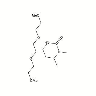 CC1CCNC(=O)N1C.COCCOCCOCCOC